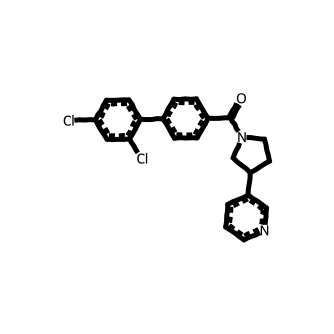 O=C(c1ccc(-c2ccc(Cl)cc2Cl)cc1)N1CCC(c2cccnc2)C1